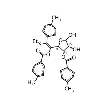 CCSC(=C(OC(=O)c1ccc(C)cc1)[C@H]1OC(O)[C@@H](O)[C@@H]1OC(=O)c1ccc(C)cc1)c1ccc(C)cc1